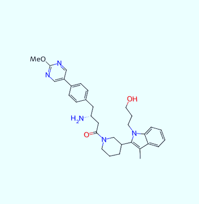 COc1ncc(-c2ccc(C[C@@H](N)CC(=O)N3CCCC(c4c(C)c5ccccc5n4CCCO)C3)cc2)cn1